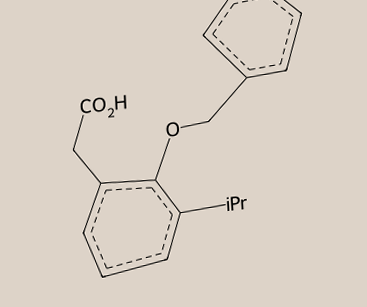 CC(C)c1cccc(CC(=O)O)c1OCc1ccccc1